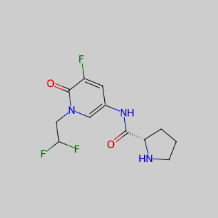 O=C(Nc1cc(F)c(=O)n(CC(F)F)c1)[C@@H]1CCCN1